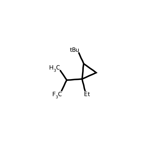 CCC1(C(C)C(F)(F)F)CC1C(C)(C)C